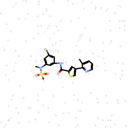 Cc1cccnc1-c1csc(C(=O)Nc2cc(Cl)cc(N(C)S(C)(=O)=O)c2)c1